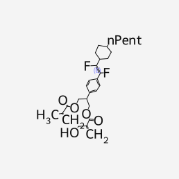 C=C(C)C(=O)OCC(COC(=O)C(=C)CO)c1ccc(/C(F)=C(\F)C2CCC(CCCCC)CC2)cc1